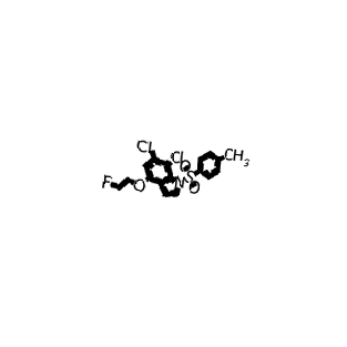 Cc1ccc(S(=O)(=O)n2ccc3c(OCCF)cc(Cl)c(Cl)c32)cc1